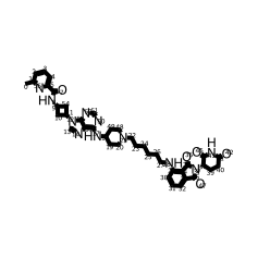 Cc1cccc(C(=O)NC2CC(n3cnc4c(NC5CCN(CCCCCCNc6cccc7c6C(=O)N([C@H]6CCC(=O)NC6=O)C7=O)CC5)ncnc43)C2)n1